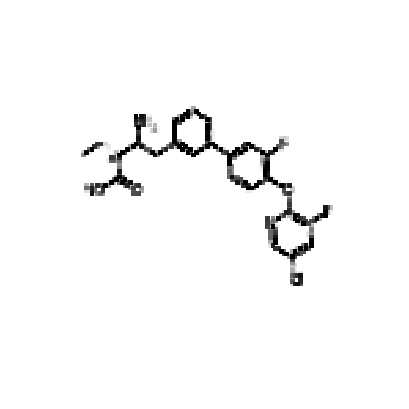 CC[C@@H](C(=O)O)C(N)Cc1cccc(-c2ccc(Oc3ncc(Cl)cc3F)c(F)c2)c1